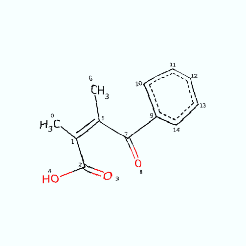 C/C(C(=O)O)=C(\C)C(=O)c1ccccc1